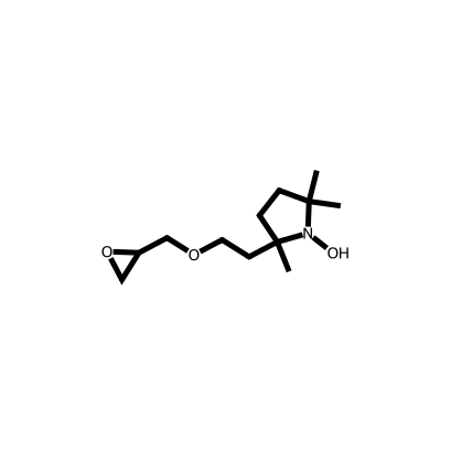 CC1(C)CCC(C)(CCOCC2CO2)N1O